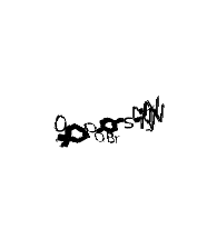 Cn1nnnc1SCc1ccc(C(=O)OC2=CC(=O)C(C)(C)CC2)c(Br)c1